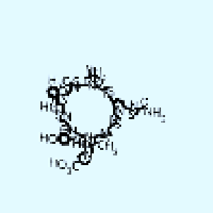 Cc1sc2nc1C(=O)N[C@@H]([C@H](O)c1ccccc1)c1nc(cs1)C(=O)N[C@@H](Cc1ccc(O)cc1)C(=O)N[C@@H]([C@@H](C)[C@@H](O)CN1CCC(C(=O)O)CC1)c1nc(cs1)-c1nc(cs1)-c1nc(-c3nc(C(N)=O)cs3)ccc1-c1nc(cs1)C(=O)N[C@H]2CC(N)=O